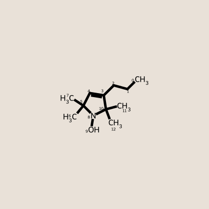 CCCC1=CC(C)(C)N(O)C1(C)C